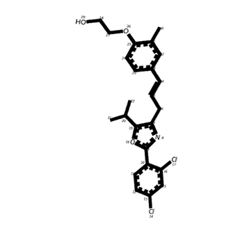 Cc1cc(C=CCc2nc(-c3ccc(Cl)cc3Cl)oc2C(C)C)ccc1OCCO